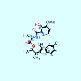 COc1ccnc(C(=O)N[C@@H](C)C(=O)OC(C)C(C)c2sc3ccc(Cl)cc3c2C)c1O